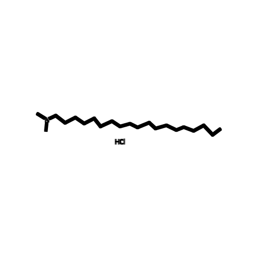 CCCCCCCCCCCCCCCCCCCN(C)C.Cl